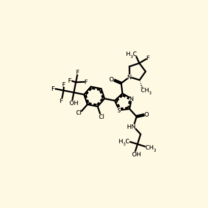 C[C@H]1CC(C)(F)CN1C(=O)c1nc(C(=O)NCC(C)(C)O)sc1-c1ccc(C(O)(C(F)(F)F)C(F)(F)F)c(Cl)c1Cl